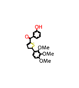 COc1ccc(C2CC=C(C(=O)c3cccc(O)c3)S2)c(OC)c1OC